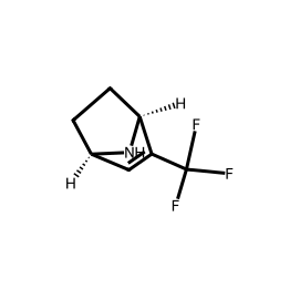 FC(F)(F)C1=C[C@H]2CC[C@@H]1N2